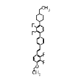 CCOc1ccc(/C=C/c2ccc(-c3ccc(C4CCC(CC)CC4)c(F)c3F)cc2)c(F)c1F